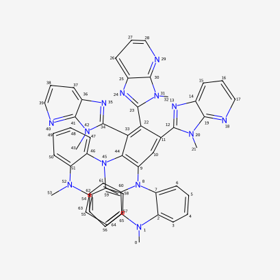 CN1c2ccccc2N(c2cc(-c3nc4cccnc4n3C)c(-c3nc4cccnc4n3C)c(-c3nc4cccnc4n3C)c2N2c3ccccc3N(C)c3ccccc32)c2ccccc21